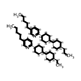 CCCCCc1ccc([C@H]2CC[C@H]([C@H]3CC[C@H](CC)CC3)CC2)nc1.CCCCCc1ccc([C@H]2CC[C@H]([C@H]3CC[C@H](CCC)CC3)CC2)nc1